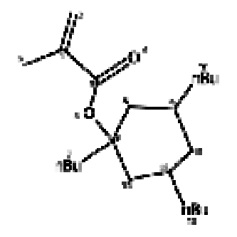 C=C(C)C(=O)OC1(CCCC)CC(CCCC)CC(CCCC)C1